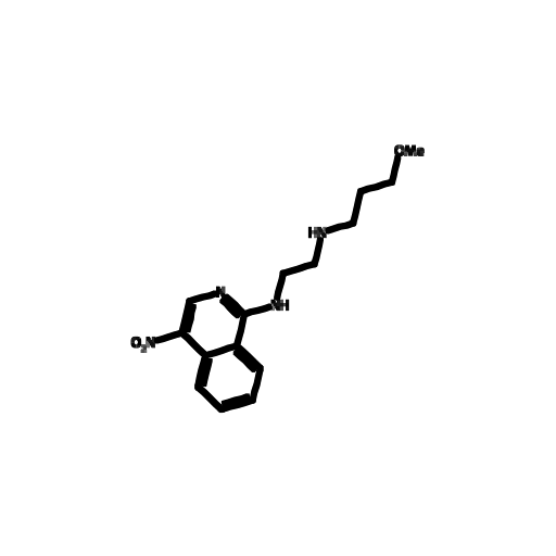 COCCCNCCNc1ncc([N+](=O)[O-])c2ccccc12